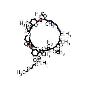 CCOCCOP(C)(=O)O[C@@H]1CCC(C[C@@H]2C3CC(=O)[C@H](C)/C=C(\C)C(O)[C@@H](OC)C(=O)C(C)CC(C)/C=C/C=C/C=C(\C)[C@@H](OC)C[C@@H]4CCC(C)C(O)(O4)C(=O)C(=O)N4CCCC2C4C(=O)O3)CC1OC